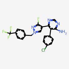 Nc1ncnc(-c2cn(Cc3ccc(C(F)(F)F)cc3)nc2F)c1-c1ccc(Cl)cc1